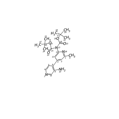 Cc1cc(-c2ccncc2N)cc(N(C(=O)OC(C)(C)C)C(=O)OC(C)(C)C)n1